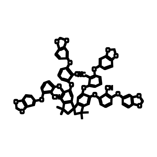 CC1(C)CC2(CC(C)(C)c3cc(Oc4cccc(Oc5ccc6c(c5)OCO6)c4C#N)c(Oc4cccc(Oc5ccc6c(c5)OCO6)c4C#N)cc32)c2cc(Oc3cccc(Oc4ccc5c(c4)OCO5)c3C#N)c(Oc3cccc(Oc4ccc5c(c4)OCO5)c3C#N)cc21